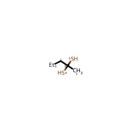 [CH2]CCC(C)(S)S